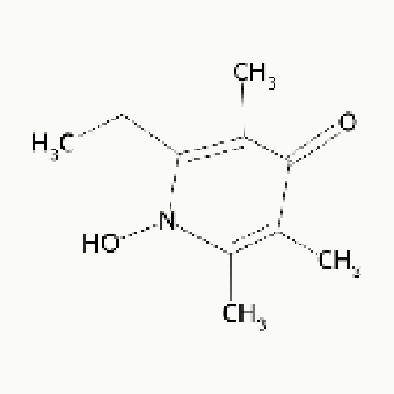 CCc1c(C)c(=O)c(C)c(C)n1O